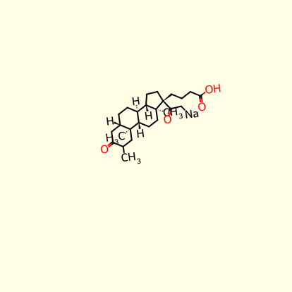 CC1C[C@@]2(C)[C@@H](CC[C@@H]3[C@@H]2CC[C@@]2(C)[C@H]3CC[C@]2(CCCC(=O)O)C(=O)[CH2][Na])CC1=O